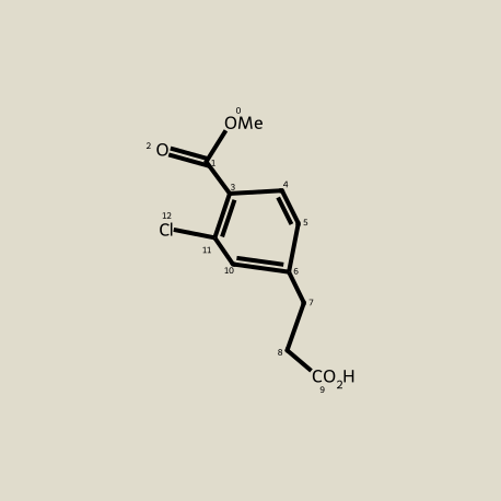 COC(=O)c1ccc(CCC(=O)O)cc1Cl